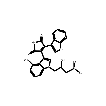 CCN(CC)CC(O)Cn1cc(C2=C(c3c[nH]c4ccccc34)C(=O)NC2=O)c2c([N+](=O)[O-])cccc21